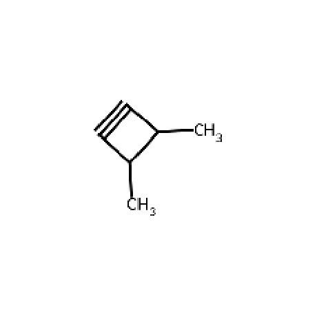 CC1C#CC1C